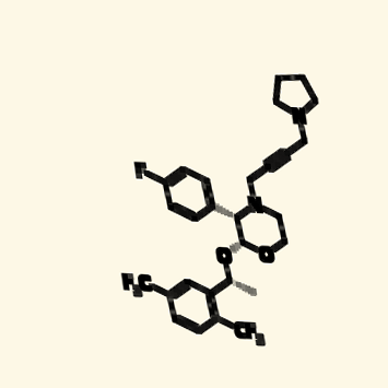 C[C@@H](O[C@H]1OCCN(CC#CCN2CCCC2)[C@H]1c1ccc(F)cc1)c1cc(C(F)(F)F)ccc1C(F)(F)F